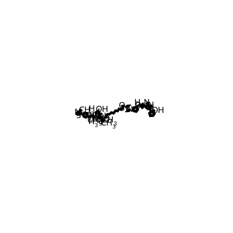 Cc1ncsc1-c1ccc([C@H](C)NC(=O)[C@@H]2C[C@@H](O)CN2C(=O)[C@@H](NC(=O)CCCCCCCCC(=O)N2CCN(c3cccc(OC4CN(c5cc(-c6ccccc6O)nnc5N)C4)c3)CC2)C(C)(C)C)cc1